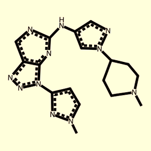 CN1CCC(n2cc(Nc3ncc4nnn(-c5ccn(C)n5)c4n3)cn2)CC1